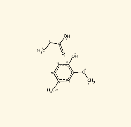 CCC(=O)O.COc1cc(C)ccc1O